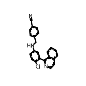 N#Cc1ccc(CNc2ccc(Cl)c(-c3nccc4ccccc34)c2)cc1